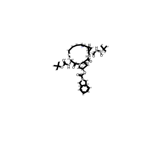 CC(C)(C)OC(=O)N[C@H]1CCCCC/C=C\[C@@H]2C[C@@]2(C(=O)N[S@+]([O-])C(C)(C)C)NC(=O)[C@@H]2C[C@@H](OC(=O)N3Cc4ccccc4C3)CN2C1=O